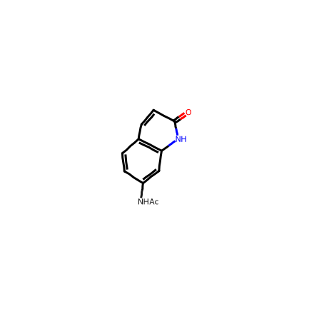 CC(=O)Nc1ccc2ccc(=O)[nH]c2c1